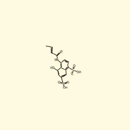 C/C=C/C(=O)Nc1ccc(S(=O)(=O)O)c2cc(S(=O)(=O)O)cc(O)c12